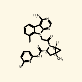 C[C@@]12C[C@@H](C(=O)Nc3cccc(Br)n3)N(C(=O)Cn3c4ncnc(N)c4c4cccc(F)c43)[C@@H]1C2